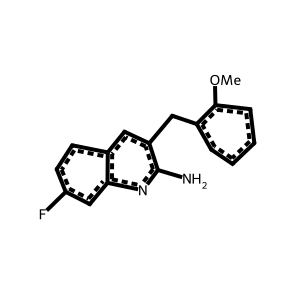 COc1ccccc1Cc1cc2ccc(F)cc2nc1N